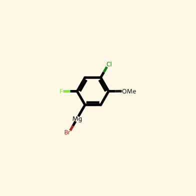 COc1c[c]([Mg][Br])c(F)cc1Cl